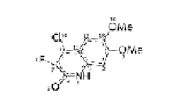 COc1cc2[nH]c(=O)c(F)c(Cl)c2cc1OC